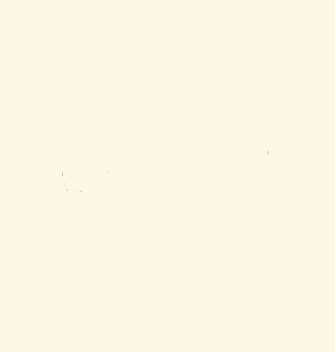 CC1(C(=O)OCCOc2cccc(C(=N)N)c2)CCN(c2ccncc2)CC1